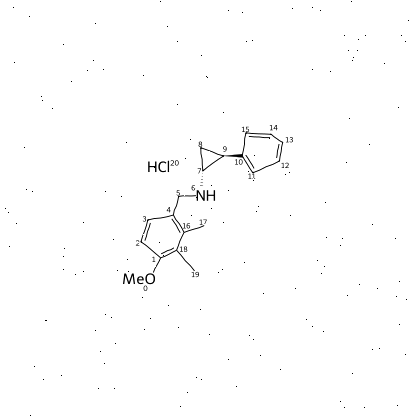 COc1ccc(CN[C@@H]2C[C@H]2c2ccccc2)c(C)c1C.Cl